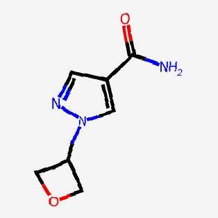 NC(=O)c1cnn(C2COC2)c1